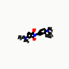 COc1cc(N2C(=O)c3ccc(N(C)C)cc3C2=O)ccc1N(C)C